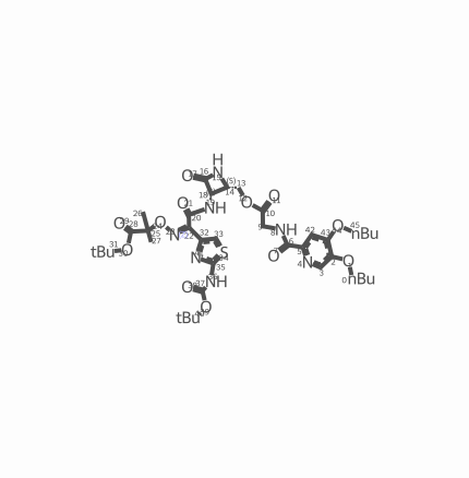 CCCCOc1cnc(C(=O)NCC(=O)OC[C@H]2NC(=O)[C@H]2NC(=O)/C(=N\OC(C)(C)C(=O)OC(C)(C)C)c2csc(NC(=O)OC(C)(C)C)n2)cc1OCCCC